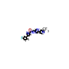 Cc1ccc(F)cc1-c1ccc(C(=O)NCc2ccc(-c3ccnc(C(F)(F)F)c3)nc2)nc1